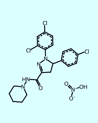 O=C(NN1CCCCC1)C1=NN(c2ccc(Cl)cc2Cl)C(c2ccc(Cl)cc2)C1.O=[N+]([O-])O